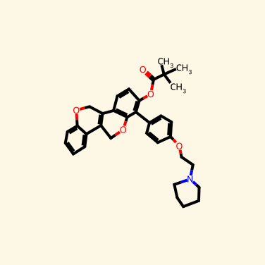 CC(C)(C)C(=O)Oc1ccc2c(c1-c1ccc(OCCN3CCCCC3)cc1)OCC1=C2COc2ccccc21